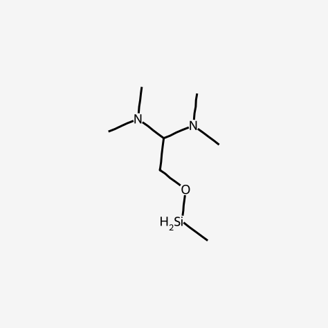 C[SiH2]OCC(N(C)C)N(C)C